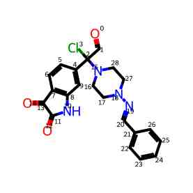 O=CC(Cl)(c1ccc2c(c1)NC(=O)C2=O)N1CCN(N=Cc2ccccc2)CC1